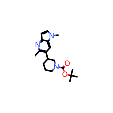 Cc1nc2ccn(C)c2cc1C1CCCN(C(=O)OC(C)(C)C)C1